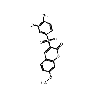 COc1ccc2cc(S(=O)(=O)c3ccc(C)c(Cl)c3)c(=O)oc2c1